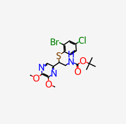 COc1ncc(C(CNC(=O)OC(C)(C)C)Sc2ccc(Cl)cc2Br)nc1OC